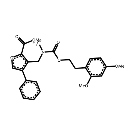 COC(=O)c1occ(-c2ccccc2)c1CN(C)C(=O)OCCc1ccc(OC)cc1OC